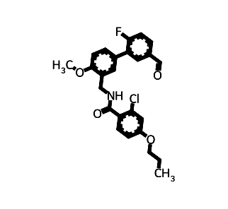 CCCOc1ccc(C(=O)NCc2cc(-c3cc(C=O)ccc3F)ccc2OC)c(Cl)c1